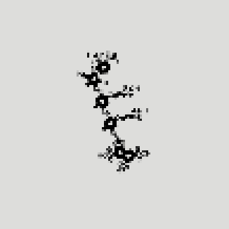 CC(=O)Nc1ccc2c(nc3c(C#N)c(C)c(N=Nc4cc(C)c(N=Nc5cc(C)c(N=Nc6nc7c(S(=O)(=O)O)cc8c(S(=O)(=O)O)cc(S(=O)(=O)O)cc8c7s6)cc5SCCCS(=O)(=O)O)cc4OCCCS(=O)(=O)O)c(O)n32)c1S(=O)(=O)O